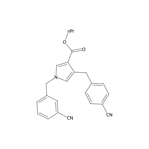 CCCOC(=O)c1cn(Cc2cccc(C#N)c2)cc1Cc1ccc(C#N)cc1